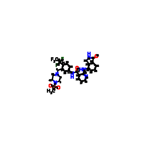 CS(=O)(=O)N1CCN(Cc2cc(NC(=O)c3cccnc3Nc3cccc4c3CNC4=O)ccc2C(F)(F)C(F)(F)F)CC1